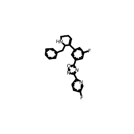 Fc1ccc(-c2noc(-c3cc(F)cc(C4=CCCNC4Cc4ccccc4)c3)n2)nc1